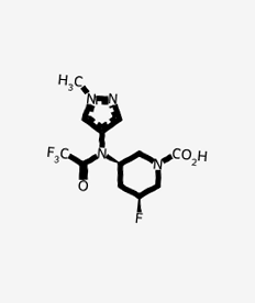 Cn1cc(N(C(=O)C(F)(F)F)[C@@H]2C[C@H](F)CN(C(=O)O)C2)cn1